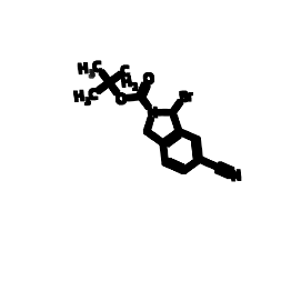 CC(C)(C)OC(=O)N1Cc2ccc(C#N)cc2C1Br